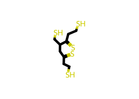 S=C(CCS)CC(CS)C(=S)CCS